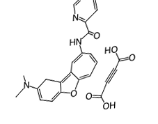 CN(C)C1=CC=c2oc3c(c2C1)C=C(NC(=O)c1ccncn1)C=CC=3.O=C(O)C#CC(=O)O